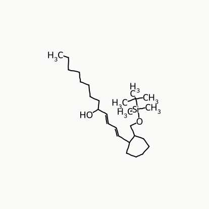 CCCCCCCCC(O)/C=C/C=C/C1CCCCCC1CO[Si](C)(C)C(C)(C)C